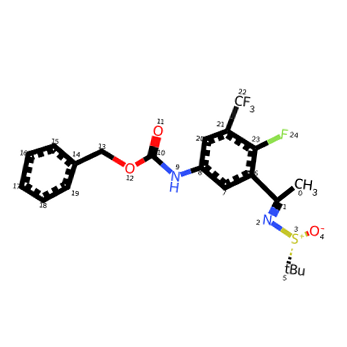 C/C(=N\[S@+]([O-])C(C)(C)C)c1cc(NC(=O)OCc2ccccc2)cc(C(F)(F)F)c1F